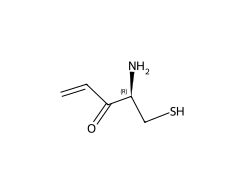 C=CC(=O)[C@@H](N)CS